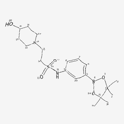 CC1(C)OB(c2cccc(NS(=O)(=O)CCN3CCC(O)CC3)c2)OC1(C)C